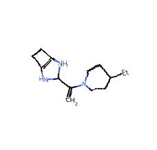 C=C(C1NC2=C(CC2)N1)N1CCC(CC)CC1